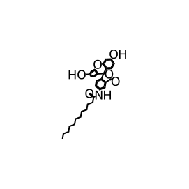 CCCCCCCCCCCC(=O)Nc1ccc2c(c1)C(=O)OC21c2ccc(O)cc2Oc2cc(O)ccc21